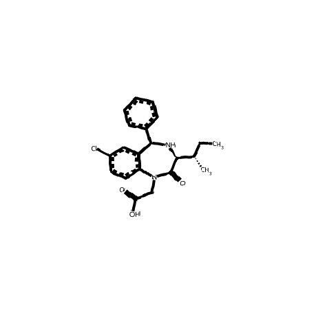 CC[C@H](C)[C@@H]1NC(c2ccccc2)c2cc(Cl)ccc2N(CC(=O)O)C1=O